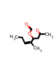 CCC=C(C)C(CC(C)=O)OC=O